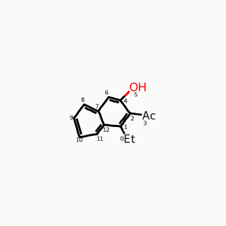 CCc1c(C(C)=O)c(O)cc2ccccc12